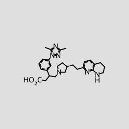 Cc1nc(C)n(-c2cccc(C(CC(=O)O)CN3CC[C@@H](CCc4ccc5c(n4)NCCC5)C3)c2)n1